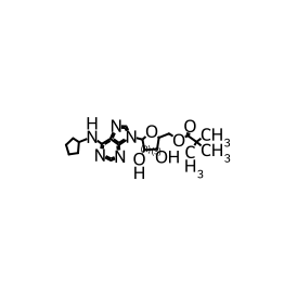 CC(C)(C)C(=O)OCC1OC(n2cnc3c(NC4CCCC4)ncnc32)[C@H](O)[C@@H]1O